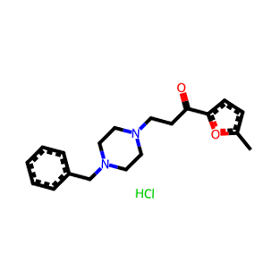 Cc1ccc(C(=O)CCN2CCN(Cc3ccccc3)CC2)o1.Cl